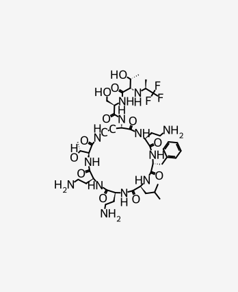 CC(C)C[C@@H]1NC(=O)[C@@H](Cc2ccccc2)NC(=O)[C@H](CCN)NC(=O)[C@@H](NC(=O)[C@@H](CO)NC(=O)[C@@H](N[C@@H](C)C(F)(F)F)[C@@H](C)O)CCNC(=O)[C@H]([C@@H](C)O)NC(=O)[C@H](CCN)NC(=O)[C@H](CCN)NC1=O